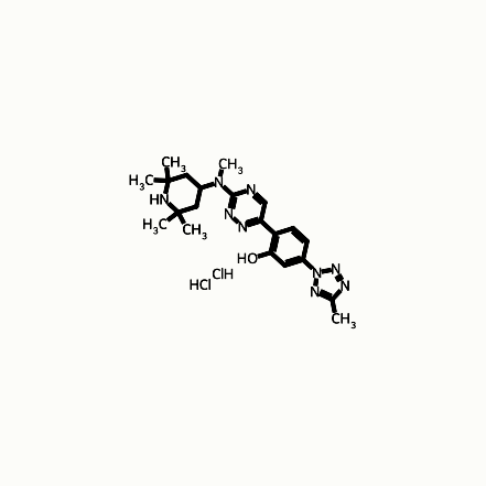 Cc1nnn(-c2ccc(-c3cnc(N(C)C4CC(C)(C)NC(C)(C)C4)nn3)c(O)c2)n1.Cl.Cl